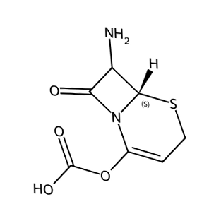 NC1C(=O)N2C(OC(=O)O)=CCS[C@@H]12